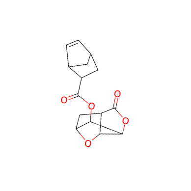 O=C(OC1C2CC3C(=O)OC1C3O2)C1CC2C=CC1C2